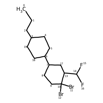 CCCC1CCC(C2CCC(Br)(Br)C(C(F)F)C2)CC1